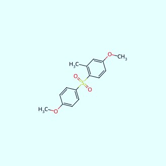 COc1ccc(S(=O)(=O)c2ccc(OC)cc2C)cc1